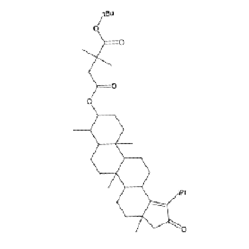 CC(C)C1=C2C3CCC4C(C)(CCC5C(C)C(OC(=O)CC(C)(C)C(=O)OC(C)(C)C)CCC54C)C3CCC2(C)CC1=O